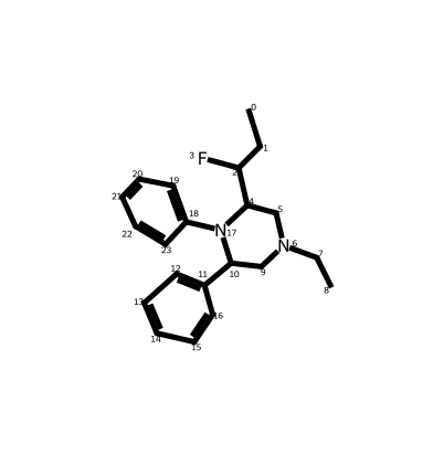 CCC(F)C1CN(CC)CC(c2ccccc2)N1c1ccccc1